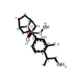 CC(CN)c1ccc(N2CC3CCC(C2)N3C(=O)OC(C)(C)C)cc1F